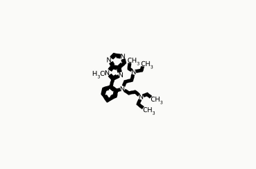 CCN(CC)CCN(CCN(CC)CC)c1ccccc1-c1nc2cncnc2n1C